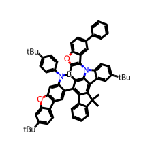 CC(C)(C)c1ccc(N2B3c4oc5ccc(-c6ccccc6)cc5c4-n4c5ccc(C(C)(C)C)cc5c5c6c(c(c3c54)-c3cc4c(cc32)oc2cc(C(C)(C)C)ccc24)-c2ccccc2C6(C)C)cc1